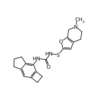 CN1CCc2cc(SNC(=O)Nc3c4c(cc5c3CC5)CCC4)oc2C1